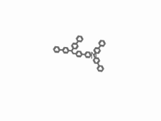 c1ccc(-c2ccc(C(Cc3ccc(-c4ccc(N(c5ccc(-c6ccccc6)cc5)c5ccc(-c6ccccc6)cc5)cc4)cc3)c3ccc(-c4ccccc4)cc3)cc2)cc1